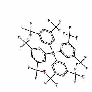 FC(F)(F)c1cc([B-](c2cc(C(F)(F)F)cc(C(F)(F)F)c2)(c2cc(C(F)(F)F)cc(C(F)(F)F)c2)c2cc(C(F)(F)F)cc(C(F)(F)F)c2)cc(C(F)(F)F)c1